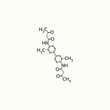 CC(=O)CC(=O)Nc1ccc(-c2ccc(NC(=O)CC(C)=O)c(C)c2)cc1C